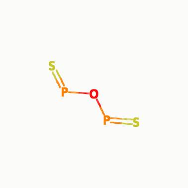 S=POP=S